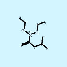 C=C(CC(C)C)[SiH](OCC)OCC